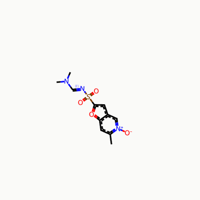 Cc1cc2oc(S(=O)(=O)/N=C/N(C)C)cc2c[n+]1[O-]